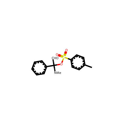 CNC(C=O)(OS(=O)(=O)c1ccc(C)cc1)c1ccccc1